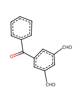 O=Cc1cc(C=O)cc(C(=O)c2ccccc2)c1